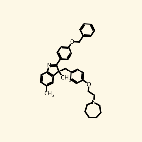 Cc1ccc2c(c1)C(C)(Cc1ccc(OCCN3CCCCCC3)cc1)C(c1ccc(OCc3ccccc3)cc1)=N2